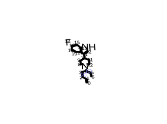 C=C/C=C\C(=C/C)N1CCC(c2c[nH]c3cc(F)ccc23)CC1